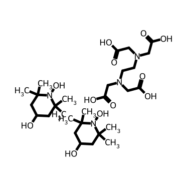 CC1(C)CC(O)CC(C)(C)N1O.CC1(C)CC(O)CC(C)(C)N1O.O=C(O)CN(CCN(CC(=O)O)CC(=O)O)CC(=O)O